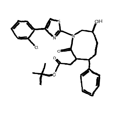 CC(C)(C)OC(=O)CC1C(=O)N(c2nc(-c3ccccc3Cl)cs2)CC(O)CCC1c1ccccc1